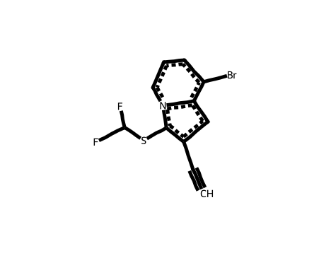 C#Cc1cc2c(Br)cccn2c1SC(F)F